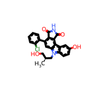 C[C@H](CO)Cn1c2ccc(O)cc2c2c3c(c(-c4ccccc4Cl)cc21)C(=O)NC3=O